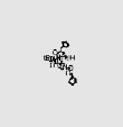 CC(C)(C)[C@H](NC(=O)[C@H](CC1CCCC1)CN(O)C=O)C(=O)N1CCN(C(=O)OCc2ccccc2)CC1